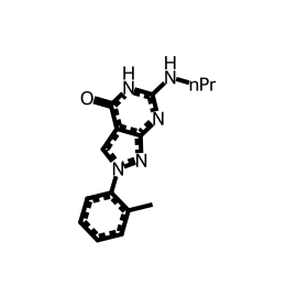 CCCNc1nc2nn(-c3ccccc3C)cc2c(=O)[nH]1